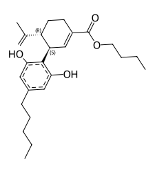 C=C(C)[C@@H]1CCC(C(=O)OCCCC)=C[C@H]1c1c(O)cc(CCCCC)cc1O